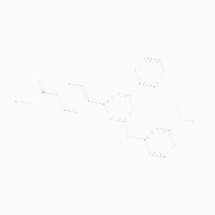 CN(C)c1cccc(Nc2cc(-c3ccccc3)nc(C3=CCN(C(=O)OC(C)(C)C)CC3)n2)c1